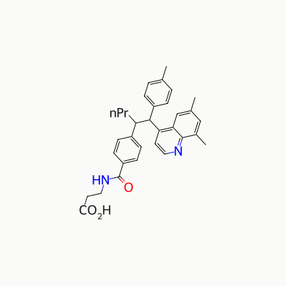 CCCC(c1ccc(C(=O)NCCC(=O)O)cc1)C(c1ccc(C)cc1)c1ccnc2c(C)cc(C)cc12